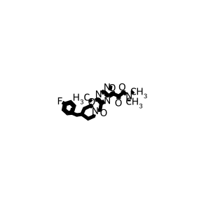 COc1nc2noc(C(=O)C(=O)N(C)C)c2nc1C(=O)N1CCC(Cc2ccc(F)cc2)CC1